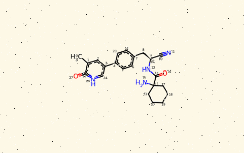 Cc1cc(-c2ccc(C[C@@H](C#N)NC(=O)C3(N)CCCCC3)cc2)c[nH]c1=O